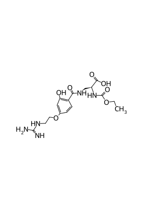 CCOC(=O)N[C@@H](CNC(=O)c1ccc(OCCNC(=N)N)cc1O)C(=O)O